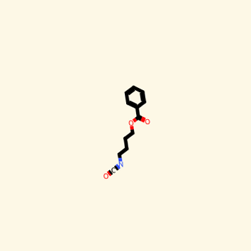 O=C=NCCCCOC(=O)c1ccccc1